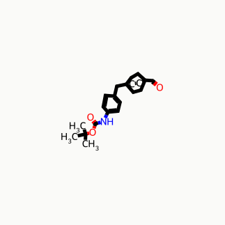 CC(C)(C)OC(=O)Nc1ccc(CC23CCC(C=O)(CC2)CC3)cc1